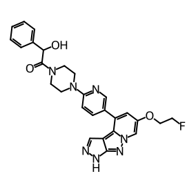 O=C(C(O)c1ccccc1)N1CCN(c2ccc(-c3cc(OCCF)cn4nc5[nH]ncc5c34)cn2)CC1